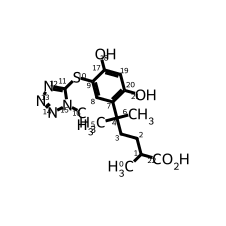 CC(CCC(C)(C)c1cc(Sc2nnnn2C)c(O)cc1O)C(=O)O